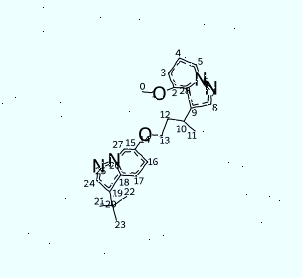 COc1cccn2ncc(C(C)CCOc3ccc4c(C(C)(C)C)cnn4c3)c12